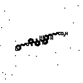 Cc1c(Nc2nccc3cc(CNCCCC(=O)O)cnc23)cccc1-c1cccc(OCCCN2CCOCC2)c1C